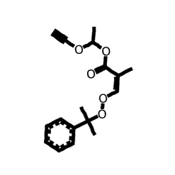 C#COC(C)OC(=O)C(C)=COOC(C)(C)c1ccccc1